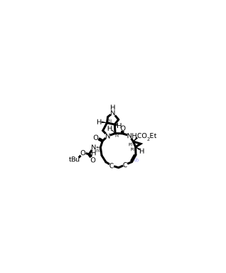 CCOC(=O)[C@@]12C[C@@H]1/C=C\CCCCC[C@H](NC(=O)OC(C)(C)C)C(=O)N1C[C@@H]3CNC[C@@H]3[C@H]1C(=O)N2